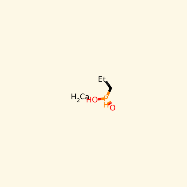 CCC[PH](=O)O.[CaH2]